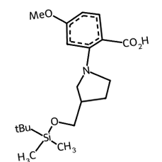 COc1ccc(C(=O)O)c(N2CCC(CO[Si](C)(C)C(C)(C)C)C2)c1